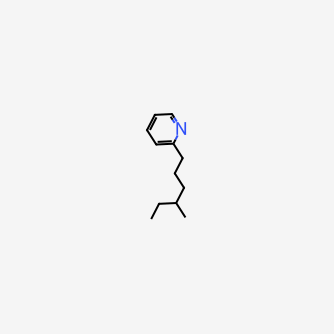 CCC(C)CCCc1ccccn1